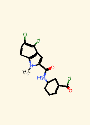 Cn1c(C(=O)NC2CCCC(C(=O)Cl)C2)cc2c(Cl)c(Cl)ccc21